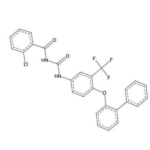 O=C(NC(=O)c1ccccc1Cl)Nc1ccc(Oc2ccccc2-c2ccccc2)c(C(F)(F)F)c1